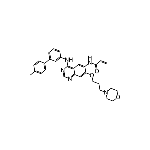 C=CC(=O)Nc1cc2c(Nc3cccc(-c4ccc(C)cc4)c3)ncnc2cc1OCCCN1CCOCC1